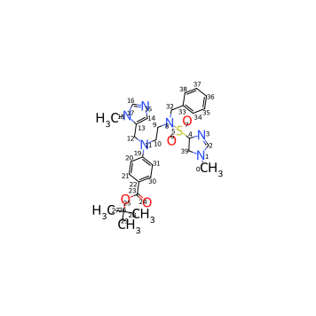 CN1C=NC(S(=O)(=O)N(CCN(Cc2cncn2C)c2ccc(C(=O)OC(C)(C)C)cc2)Cc2ccccc2)C1